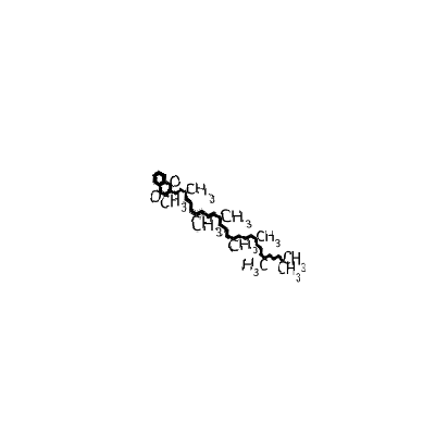 CC1=C(CCC(C)CCCC(C)CCCC(C)CCCC(C)CCCC(C)CCCC(C)CCCC(C)C)C(=O)c2ccccc2C1=O